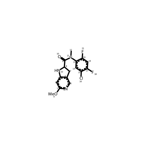 COc1cc2c(cn1)CC(C(=O)N(C)c1cc(Cl)c(F)cc1F)N2